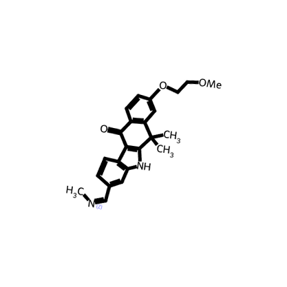 C/N=C\c1ccc2c3c([nH]c2c1)C(C)(C)c1cc(OCCOC)ccc1C3=O